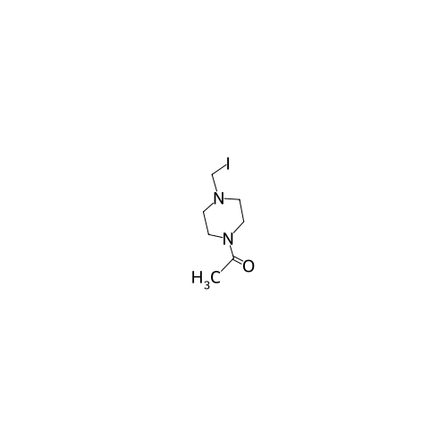 CC(=O)N1CCN(CI)CC1